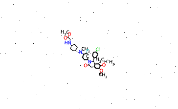 COC(=O)CN[C@H]1CC[C@H](CN(C)c2ccc(N3C(=O)Cc4cc(OC)c(OC(C)C)cc4[C@@H]3c3ccc(Cl)cc3)cc2F)CC1